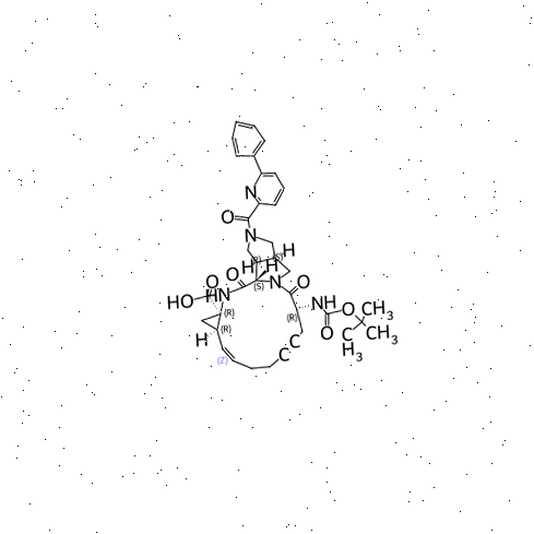 CC(C)(C)OC(=O)N[C@@H]1CCCCC/C=C\[C@H]2C[C@@]2(C(=O)O)NC(=O)[C@@H]2[C@H]3CN(C(=O)c4cccc(-c5ccccc5)n4)C[C@H]3CN2C1=O